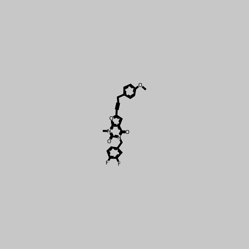 COc1ccc(CC#Cc2cc3c(=O)n(Cc4ccc(F)c(F)c4)c(=O)n(C)c3o2)cc1